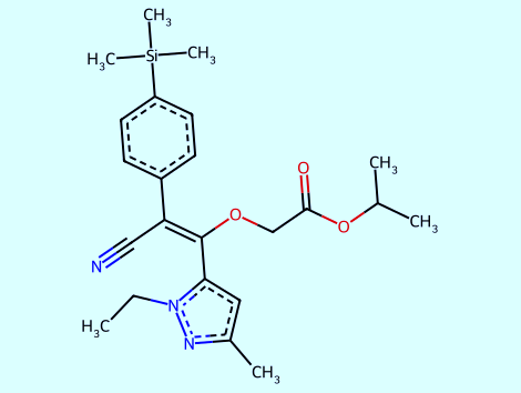 CCn1nc(C)cc1C(OCC(=O)OC(C)C)=C(C#N)c1ccc([Si](C)(C)C)cc1